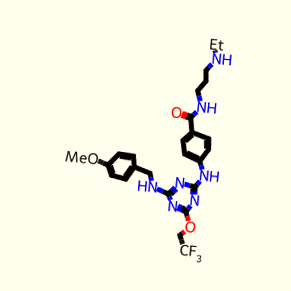 CCNCCCNC(=O)c1ccc(Nc2nc(NCc3ccc(OC)cc3)nc(OCC(F)(F)F)n2)cc1